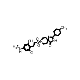 CNc1cc(C)c(CCS(=O)(=O)N2CCC3(CC2)N=C(C2CCC(C)CC2)NC3=O)c(Cl)c1